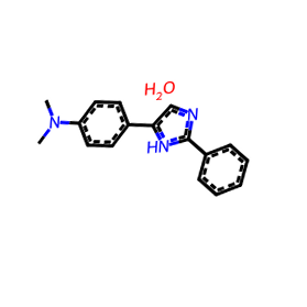 CN(C)c1ccc(-c2cnc(-c3ccccc3)[nH]2)cc1.O